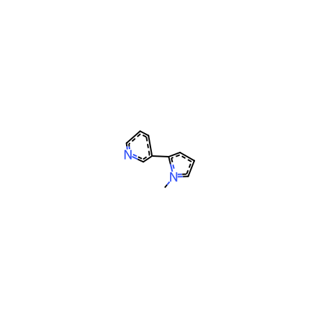 Cn1cccc1-c1cccnc1